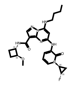 CCCCNc1cc(Nc2cccn([C@H]3C[C@@H]3F)c2=O)nc2c(C(=O)N[C@H]3CC[C@@H]3OC)cnn12